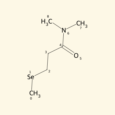 C[Se]CCC(=O)N(C)C